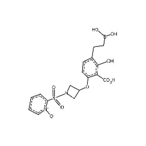 O=C(O)c1c(OC2CN(S(=O)(=O)c3cccc[n+]3[O-])C2)ccc(CCB(O)O)c1O